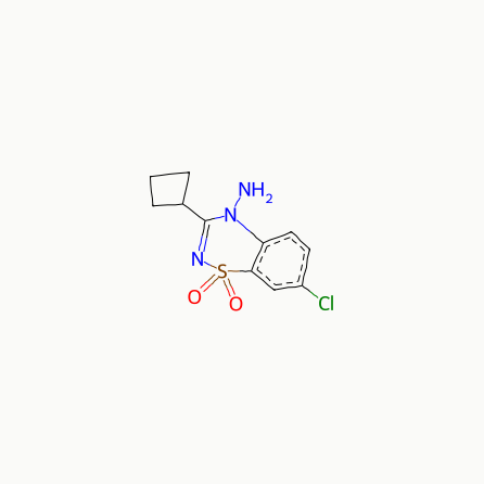 NN1C(C2CCC2)=NS(=O)(=O)c2cc(Cl)ccc21